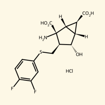 Cl.N[C@]1(C(=O)O)[C@@H]2[C@@H](C(=O)O)[C@@H]2[C@H](O)[C@H]1CSc1ccc(F)c(F)c1